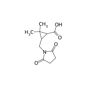 CC1(C)C(CN2C(=O)CCC2=O)C1C(=O)O